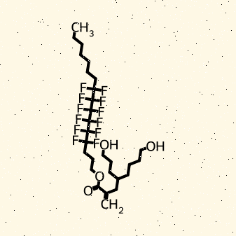 C=C(CC(CCCO)CCCCO)C(=O)OCCCC(F)(F)C(F)(F)C(F)(F)C(F)(F)C(F)(F)C(F)(F)CCCCCCC